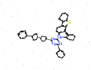 c1ccc(-c2ccc(-c3ccc(-c4nc(-c5ccccc5)nc(-n5c6ccccc6c6c7sc8ccccc8c7ccc65)n4)cc3)cc2)cc1